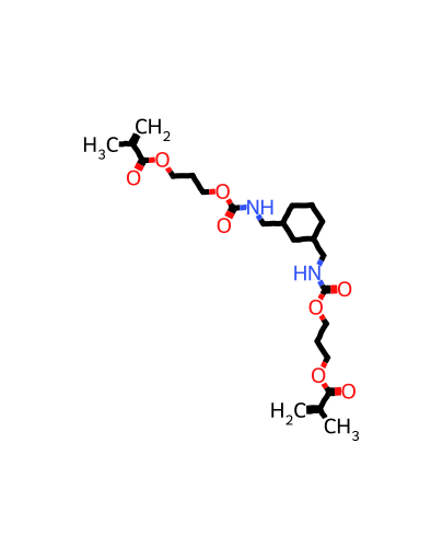 C=C(C)C(=O)OCCCOC(=O)NCC1CCCC(CNC(=O)OCCCOC(=O)C(=C)C)C1